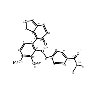 COc1ccc(C2=C3COC=C3C=CC2=O)c(OCc2ccc(C(=O)N(C)C)cc2)c1OC